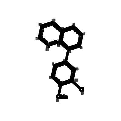 COc1ccc(-c2cccc3cccnc23)cc1Cl